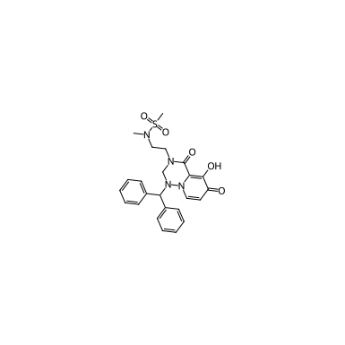 CN(CCN1CN(C(c2ccccc2)c2ccccc2)n2ccc(=O)c(O)c2C1=O)S(C)(=O)=O